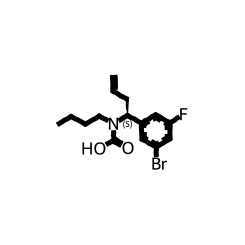 C=CC[C@@H](c1cc(F)cc(Br)c1)N(CCCC)C(=O)O